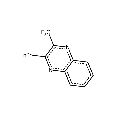 CCCc1nc2ccccc2nc1C(F)(F)F